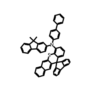 CC1(C)c2ccccc2-c2ccc(N(c3ccc(-c4ccccc4)cc3)c3cccc4c3Sc3cc5ccccc5cc3C43c4ccccc4-c4ccccc43)cc21